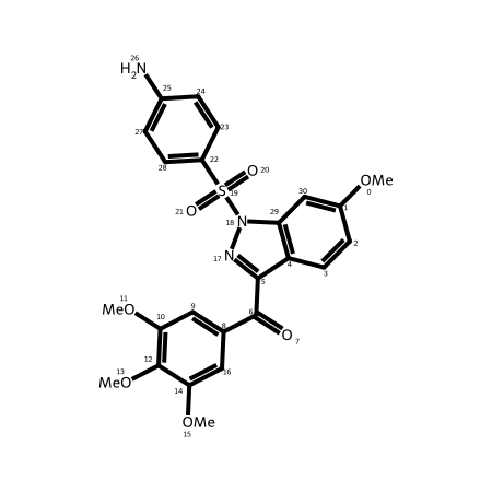 COc1ccc2c(C(=O)c3cc(OC)c(OC)c(OC)c3)nn(S(=O)(=O)c3ccc(N)cc3)c2c1